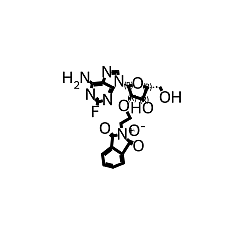 Nc1nc(F)nc2c1ncn2[C@@H]1O[C@H](CO)[C@@H](O)[C@H]1OCC[N+]1([O-])C(=O)c2ccccc2C1=O